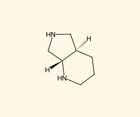 C1CN[C@@H]2CNC[C@H]2C1